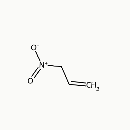 C=CC[N+](=O)[O-]